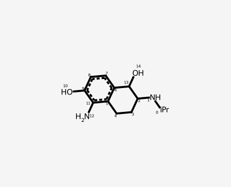 CC(C)NC1CCc2c(ccc(O)c2N)C1O